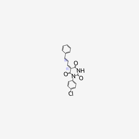 O=C1NC(=O)N(c2ccc(Cl)cc2)C(=O)/C1=C/C=C/c1ccccc1